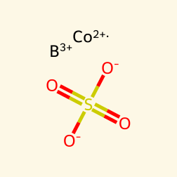 O=S(=O)([O-])[O-].[B+3].[Co+2]